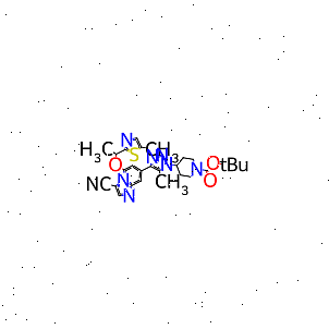 Cc1cnc(C(C)Oc2cc(-c3nnn(C4CCN(C(=O)OC(C)(C)C)CC4)c3C)cc3ncc(C#N)n23)s1